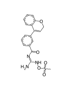 CS(=O)(=O)ONC(N)=NC(=O)c1cccc(C2=CCOc3ccccc32)c1